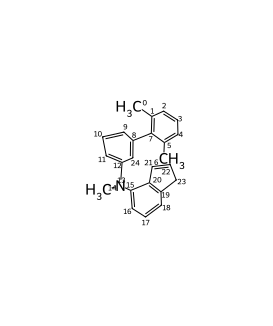 Cc1cccc(C)c1-c1cccc(N(C)c2cccc3c2C=CC3)c1